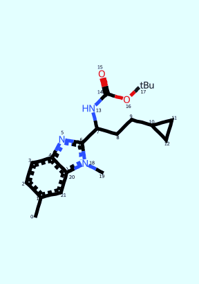 Cc1ccc2nc(C(CCC3CC3)NC(=O)OC(C)(C)C)n(C)c2c1